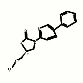 COC[C@@H]1CN(c2ccc(-c3ccccc3)cn2)C(=O)O1